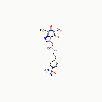 C=S(N)(=O)c1ccc(CCNC(=O)Cn2cnc3c2c(=O)n(C)c(=O)n3C)cc1